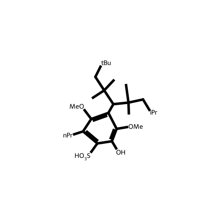 CCCc1c(OC)c(C(C(C)(C)CC(C)C)C(C)(C)CC(C)(C)C)c(OC)c(O)c1S(=O)(=O)O